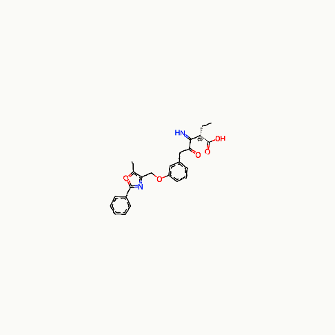 CC[C@@H](C(=N)C(=O)Cc1cccc(OCc2nc(-c3ccccc3)oc2C)c1)C(=O)O